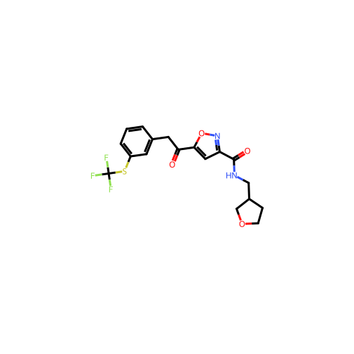 O=C(NCC1CCOC1)c1cc(C(=O)Cc2cccc(SC(F)(F)F)c2)on1